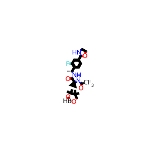 CC1(C)COBOC1(C)C.C[C@@H](NC(=O)C1(NC(=O)C(F)(F)F)CC1)c1ccc(C2NCCO2)cc1F